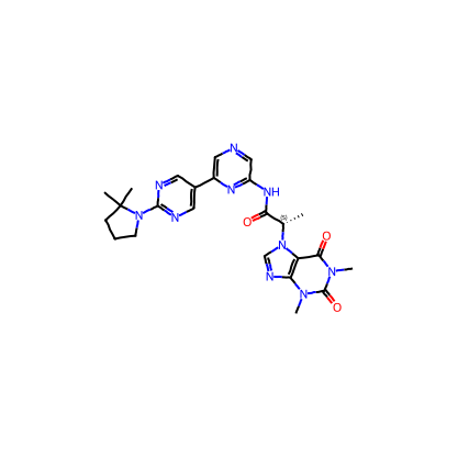 C[C@@H](C(=O)Nc1cncc(-c2cnc(N3CCCC3(C)C)nc2)n1)n1cnc2c1c(=O)n(C)c(=O)n2C